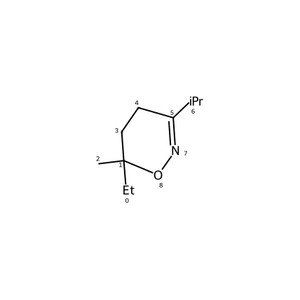 CCC1(C)CCC(C(C)C)=NO1